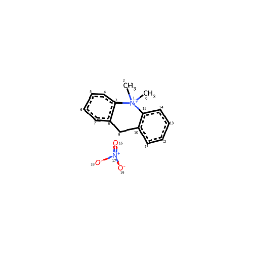 C[N+]1(C)c2ccccc2Cc2ccccc21.O=[N+]([O-])[O-]